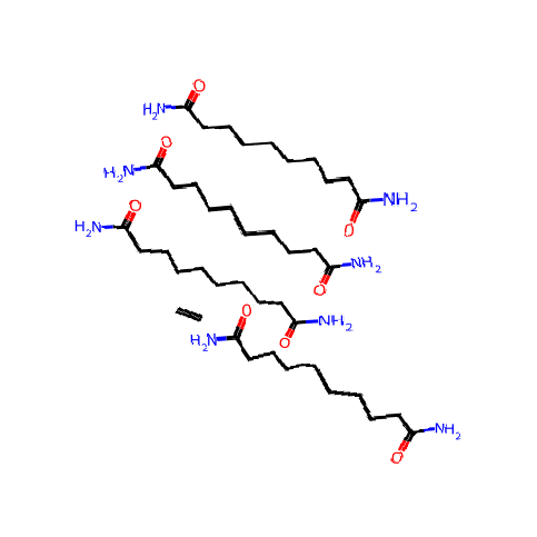 C=C.NC(=O)CCCCCCCCC(N)=O.NC(=O)CCCCCCCCC(N)=O.NC(=O)CCCCCCCCC(N)=O.NC(=O)CCCCCCCCC(N)=O